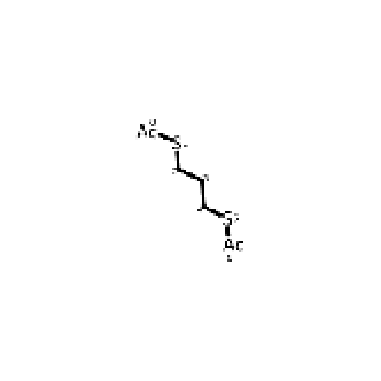 CC(=O)SCCCSC(C)=O